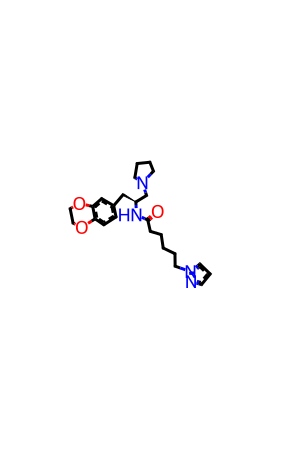 O=C(CCCCCn1cccn1)N[C@@H](Cc1ccc2c(c1)OCCO2)CN1CCCC1